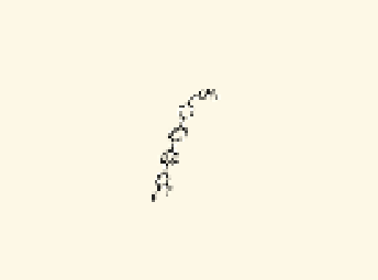 CCC1CCC(c2ccc(-c3cnc(-c4ccc(F)c(F)c4)nc3)cc2)CC1